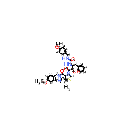 COc1ccc(CNC(=O)NC(Cc2ccccc2)C(O)C(=O)N2CSC(C)(C)C2C(=O)NCc2ccc(OC)cc2)cc1